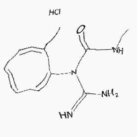 CNC(=O)N(C(=N)N)c1ccccc1C.Cl